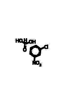 O=[N+]([O-])c1cccc(Cl)c1.O=[PH](O)O